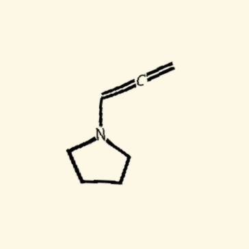 C=C=CN1CCCC1